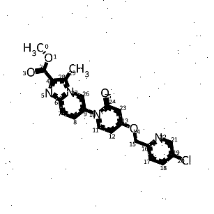 COC(=O)c1nc2ccc(-n3ccc(OCc4ccc(Cl)cn4)cc3=O)cn2c1C